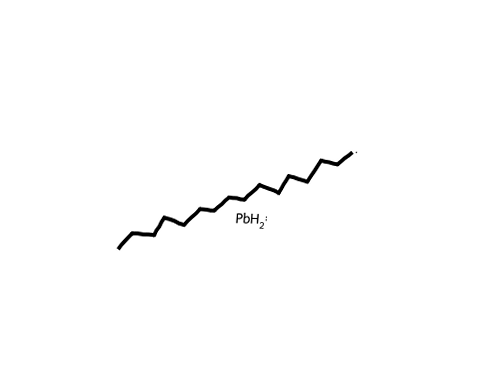 [CH2]CCCCCCCCCCCCCCC.[PbH2]